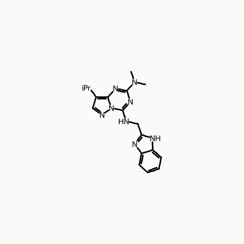 CC(C)c1cnn2c(NCc3nc4ccccc4[nH]3)nc(N(C)C)nc12